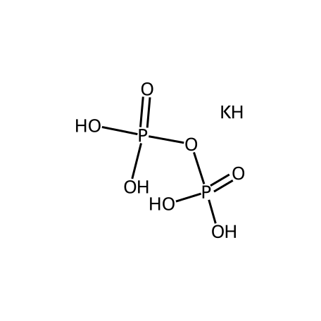 O=P(O)(O)OP(=O)(O)O.[KH]